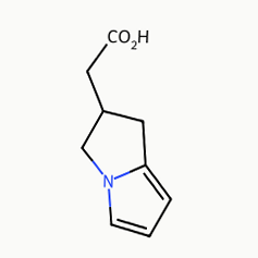 O=C(O)CC1Cc2cccn2C1